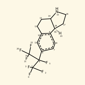 FC(F)(F)C(F)(c1ccc2c(c1)CCC1NCC[C@@H]21)C(F)(F)F